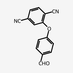 N#Cc1ccc(C#N)c(Oc2ccc(C=O)cc2)c1